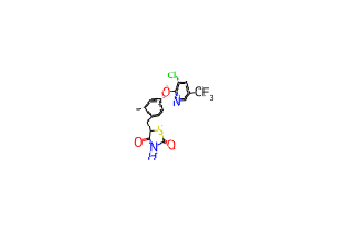 Cc1cc(Oc2ncc(C(F)(F)F)cc2Cl)ccc1CC1SC(=O)NC1=O